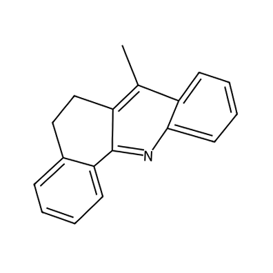 Cc1c2c(nc3ccccc13)-c1ccccc1CC2